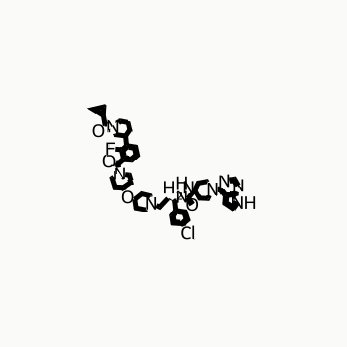 NC1(C(=O)N[C@@H](CCN2CCC(OC3CCN(C(=O)c4cccc(C5CCCN(C(=O)C6CC6)C5)c4F)CC3)CC2)c2ccc(Cl)cc2)CCN(c2ncnc3[nH]ccc23)CC1